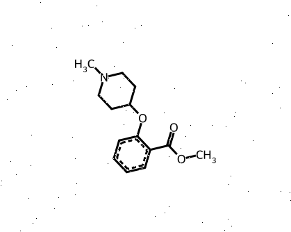 COC(=O)c1ccccc1OC1CCN(C)CC1